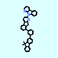 CC1(C)c2ccccc2-c2ccc(-c3cccc(-c4cccc5c4Cc4nc(-n6c7ccccc7c7cccnc76)ccc4-5)c3)cc21